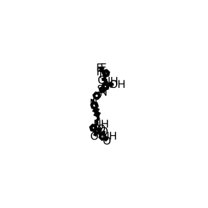 CC(C)(O)c1cc2nc([C@H]3CC[C@H](CN4CCC5(CC4)CC4(CC(CCNc6cccc7c6C(=O)N(C6CCC(=O)NC6=O)C7=O)C4)C5)CC3)sc2cc1NC(=O)c1cccc(C(F)(F)F)n1